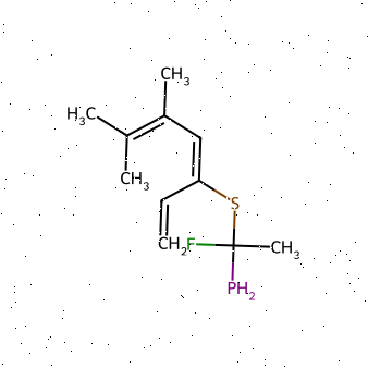 C=C/C(=C\C(C)=C(C)C)SC(C)(F)P